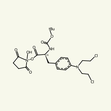 CC(C)(C)OC(=O)N[C@@H](Cc1ccc(N(CCCl)CCCl)cc1)C(=O)O[N+]1(O)C(=O)CCC1=O